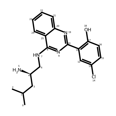 CC(C)C[C@@H](N)CNc1nc(-c2cc(Cl)ccc2O)nc2ccccc12